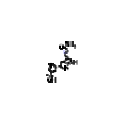 CC(C)(O)c1cncc(-c2cnc3[nH]cc(/C=C/C(N)=O)c3c2)c1